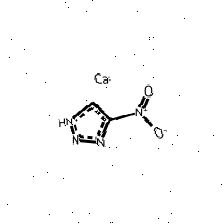 O=[N+]([O-])c1c[nH]nn1.[Ca]